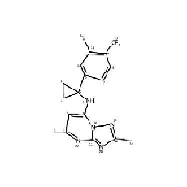 Cc1cc(NC2(c3ccc(C(F)(F)F)c(F)c3)CC2)n2nc(C)nc2n1